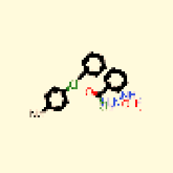 Cc1ccccc1.NN.O.O=C(Cl)c1ccccc1.[Na][c]1ccc(Cl)cc1